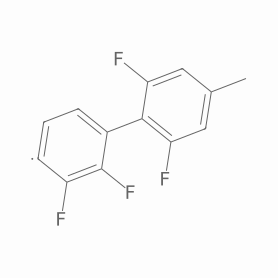 Cc1cc(F)c(-c2cc[c]c(F)c2F)c(F)c1